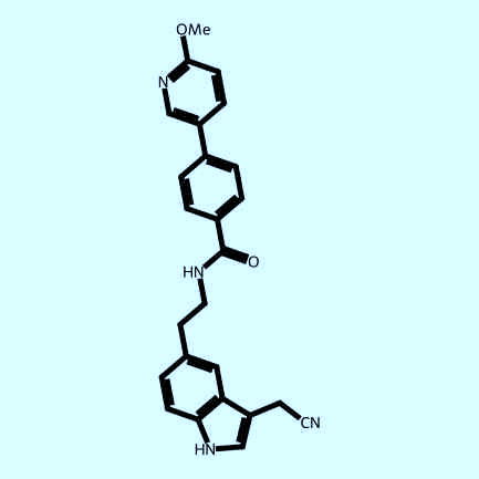 COc1ccc(-c2ccc(C(=O)NCCc3ccc4[nH]cc(CC#N)c4c3)cc2)cn1